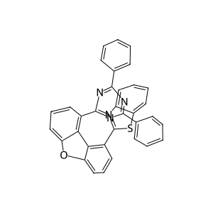 c1ccc(-c2nc(-c3ccccc3)nc(-c3cccc4oc5cccc(-c6nc7ccccc7s6)c5c34)n2)cc1